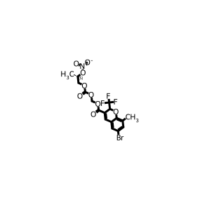 Cc1cc(Br)cc2c1OC(C(F)(F)F)C(C(=O)OCOC(=O)OC[C@H](C)O[N+](=O)[O-])=C2